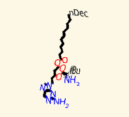 CCCCCCCCCCCCCCCCCCCCCC(=O)OCCC(CCn1cnc2cnc(N)nc21)OC(=O)[C@@H](N)[C@@H](C)CC